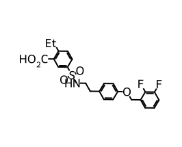 CCc1ccc(S(=O)(=O)NCCc2ccc(OCc3cccc(F)c3F)cc2)cc1C(=O)O